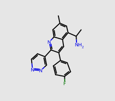 Cc1cc(C(C)N)c2cc(-c3ccc(F)cc3)c(-c3ccnnc3)nc2c1